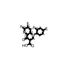 O=C(O)c1cn(-c2ccc(F)cc2F)c2cc(F)c(F)nc2c1=O